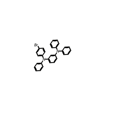 Brc1ccc(N(c2ccccc2)c2cccc(N(c3ccccc3)c3ccccc3)c2)cc1